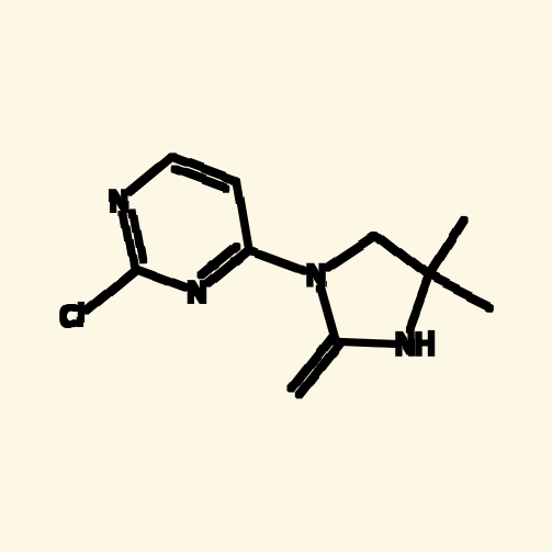 C=C1NC(C)(C)CN1c1ccnc(Cl)n1